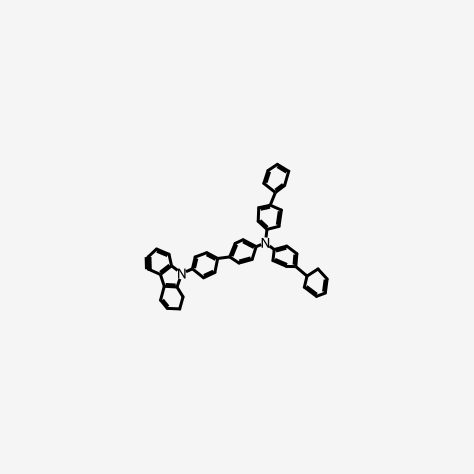 c1ccc2c(c#1)c1c(n2-c2ccc(-c3ccc(N(c4ccc(-c5ccccc5)cc4)c4ccc(C5C=CC=CC5)cc4)cc3)cc2)CCC=C1